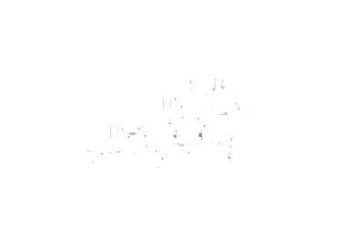 CC(Nc1nc(Nc2cc(C3CC3)[nH]n2)nc(C2CC2)n1)c1ccc(F)cn1